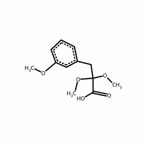 COc1cccc(CC(OC)(OC)C(=O)O)c1